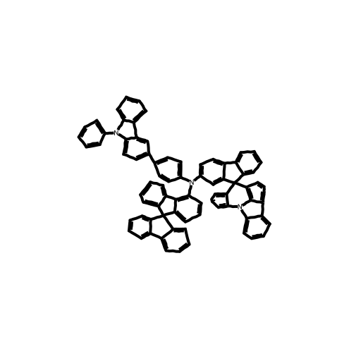 c1ccc(-n2c3ccccc3c3cc(-c4ccc(N(c5ccc6c(c5)C5(c7ccccc7-6)c6ccccc6-n6c7ccccc7c7cccc5c76)c5cccc6c5-c5ccccc5C65c6ccccc6-c6ccccc65)cc4)ccc32)cc1